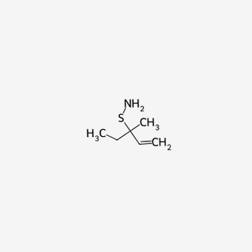 C=CC(C)(CC)SN